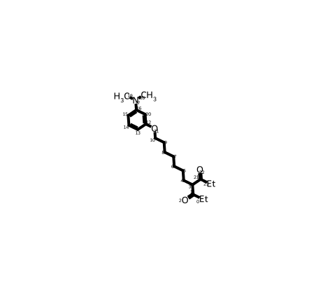 CCC(=O)C(CCCCCCCOc1cccc(N(C)C)c1)C(=O)CC